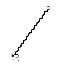 C=NC(=O)CCCCCCCCCCCCCCCCCCCCCCCCC